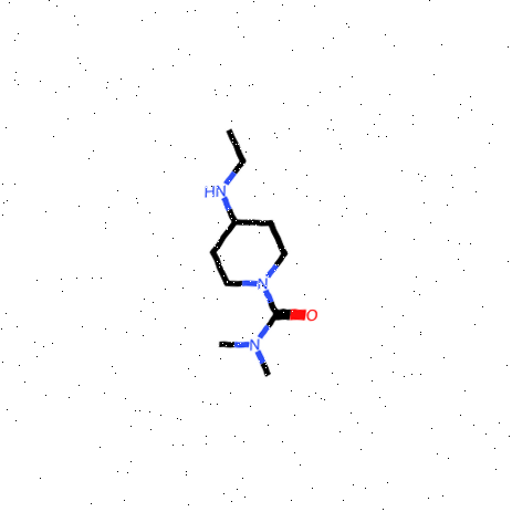 CCNC1CCN(C(=O)N(C)C)CC1